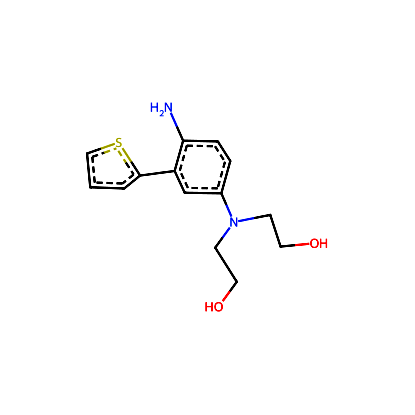 Nc1ccc(N(CCO)CCO)cc1-c1cccs1